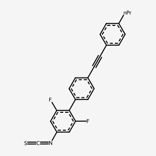 CCCc1ccc(C#Cc2ccc(-c3c(F)cc(N=C=S)cc3F)cc2)cc1